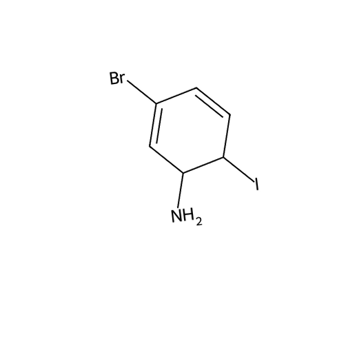 NC1C=C(Br)C=CC1I